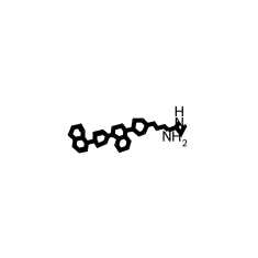 NC(CCCC1CCC(C2CCC(C3C=CC(C4C=CCC5CCC=CC54)CC3)C3CCCCC23)CC1)C1CCN1